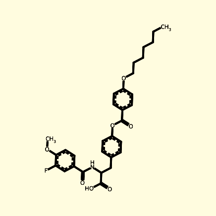 CCCCCCCOc1ccc(C(=O)Oc2ccc(CC(NC(=O)c3ccc(OC)c(F)c3)C(=O)O)cc2)cc1